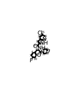 O=C(NC(Cc1ccc(F)cc1)C(=O)N1CCOCC1)c1cc2cc(Cl)cnc2[nH]1